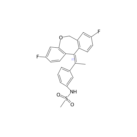 C/C(=C1\c2ccc(F)cc2COc2cc(F)ccc21)c1cccc(NS(C)(=O)=O)c1